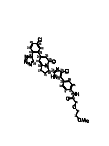 COCCOCC(=O)Nc1ccc(-c2[nH]c([C@@H]3CCc4cc(-c5cc(Cl)ccc5-n5cnnn5)cc(=O)n43)nc2Cl)cc1